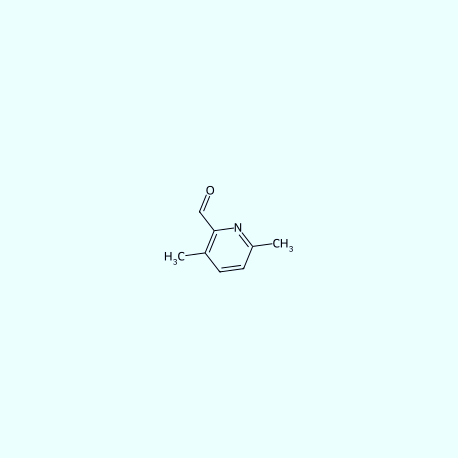 Cc1ccc(C)c(C=O)n1